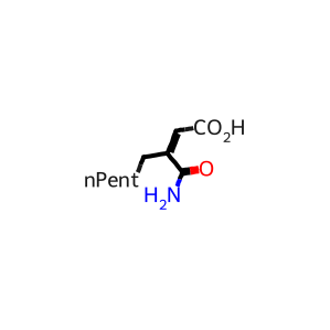 CCCCCC/C(=C/C(=O)O)C(N)=O